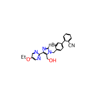 CCCCc1nc(-c2ncc(OCC)cn2)c(CO)n1Cc1ccc(-c2ccccc2C#N)cc1